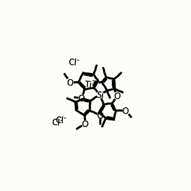 COc1cc(C)cc([Si](c2cc(C)cc(OC)c2OC)(c2cc(C)cc(OC)c2OC)C2(C)C(C)=C(C)C(C)=[C]2[Ti+3])c1OC.[Cl-].[Cl-].[Cl-]